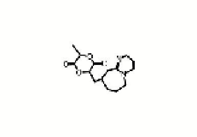 CC1OC(=O)C(CC2CCCN3CCCN=C3C2)OC1=O